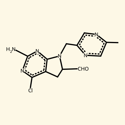 Cc1cnc(CN2c3nc(N)nc(Cl)c3CC2C=O)cn1